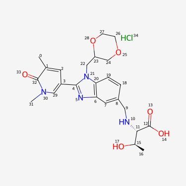 Cc1cc(-c2nc3cc(CN[C@H](C(=O)O)[C@@H](C)O)ccc3n2CC2COCCO2)cn(C)c1=O.Cl